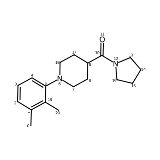 Cc1cccc(N2CCC(C(=O)N3CCCC3)CC2)c1C